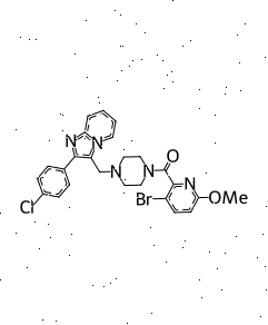 COc1ccc(Br)c(C(=O)N2CCN(Cc3c(-c4ccc(Cl)cc4)nc4ccccn34)CC2)n1